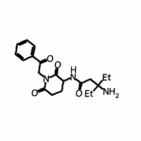 CCC(N)(CC)CC(=O)NC1CCC(=O)N(CC(=O)c2ccccc2)C1=O